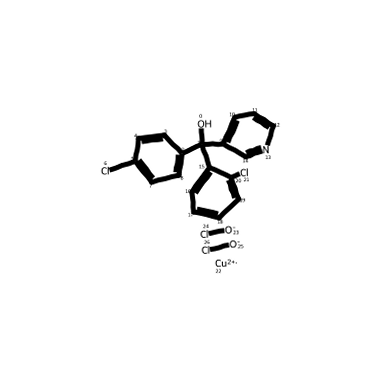 OC(c1ccc(Cl)cc1)(c1cccnc1)c1ccccc1Cl.[Cu+2].[O-]Cl.[O-]Cl